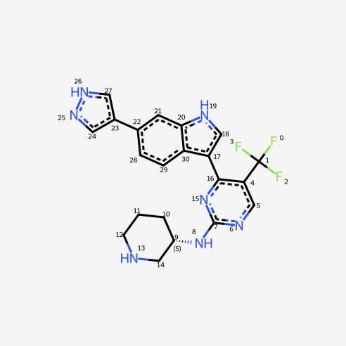 FC(F)(F)c1cnc(N[C@H]2CCCNC2)nc1-c1c[nH]c2cc(-c3cn[nH]c3)ccc12